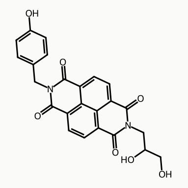 O=C1c2ccc3c4c(ccc(c24)C(=O)N1Cc1ccc(O)cc1)C(=O)N(CC(O)CO)C3=O